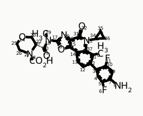 Cc1c(-c2cc(F)c(N)cc2F)ccc2c3oc(N(C)C(=O)[C@H]4COCCN4C(=O)O)nc3c(=O)n(C3CC3)c12